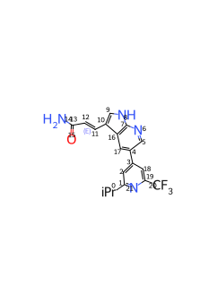 CC(C)c1cc(-c2cnc3[nH]cc(/C=C/C(N)=O)c3c2)cc(C(F)(F)F)n1